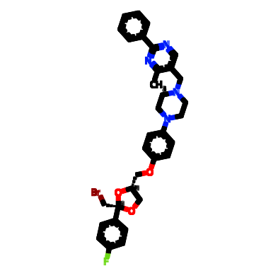 Cc1nc(-c2ccccc2)ncc1CN1CCN(c2ccc(OC[C@@H]3CO[C@@](CBr)(c4ccc(F)cc4)O3)cc2)CC1